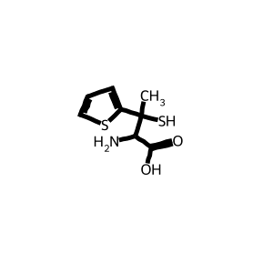 CC(S)(c1cccs1)C(N)C(=O)O